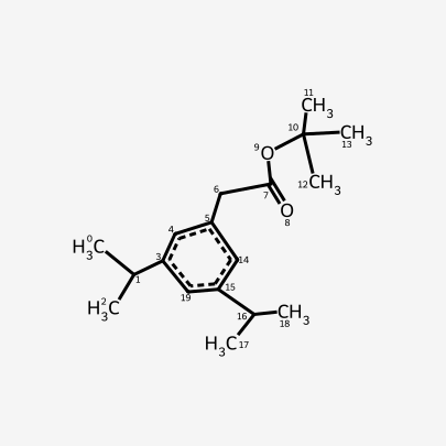 CC(C)c1cc(CC(=O)OC(C)(C)C)cc(C(C)C)c1